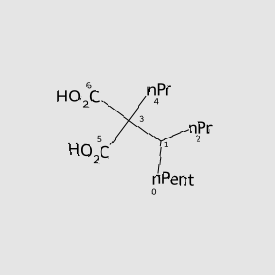 CCCCCC(CCC)C(CCC)(C(=O)O)C(=O)O